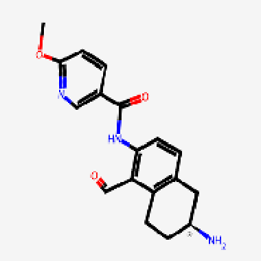 COc1ccc(C(=O)Nc2ccc3c(c2C=O)CC[C@H](N)C3)cn1